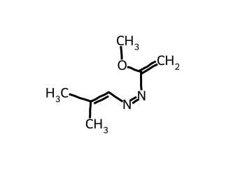 C=C(/N=N\C=C(C)C)OC